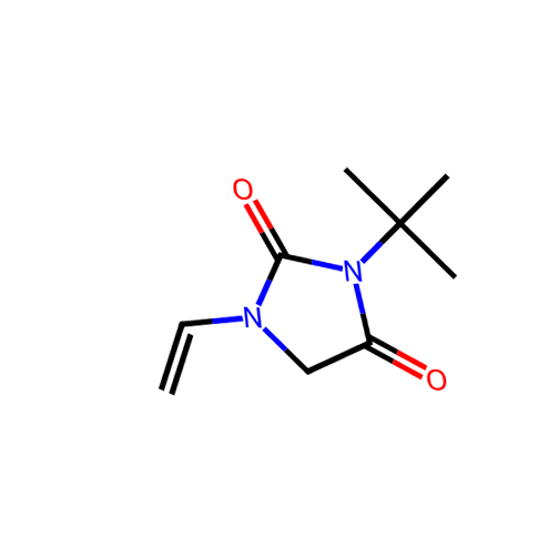 C=CN1CC(=O)N(C(C)(C)C)C1=O